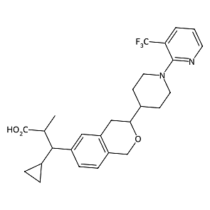 CC(C(=O)O)C(c1ccc2c(c1)CC(C1CCN(c3ncccc3C(F)(F)F)CC1)OC2)C1CC1